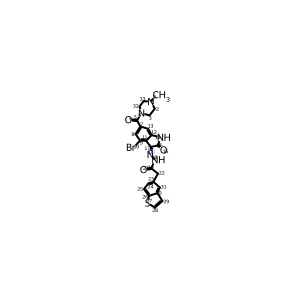 CN1CCN(C(=O)c2cc(Br)c3c(c2)NC(=O)/C3=N\NC(=O)Cc2ccc3sccc3c2)CC1